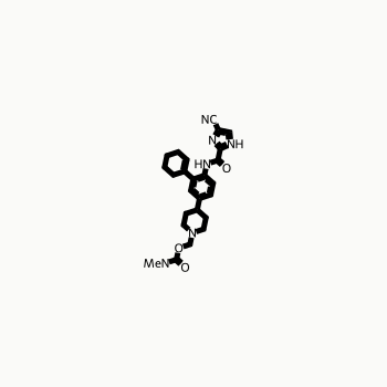 CNC(=O)OCN1CCC(c2ccc(NC(=O)c3nc(C#N)c[nH]3)c(C3=CCCCC3)c2)CC1